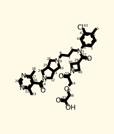 Cc1ccc(N(CCCN2CC3CN(C(=O)c4c(C)ncnc4C)CC3C2)C(=O)C2CN(C(=O)COCC(=O)O)C2)cc1Cl